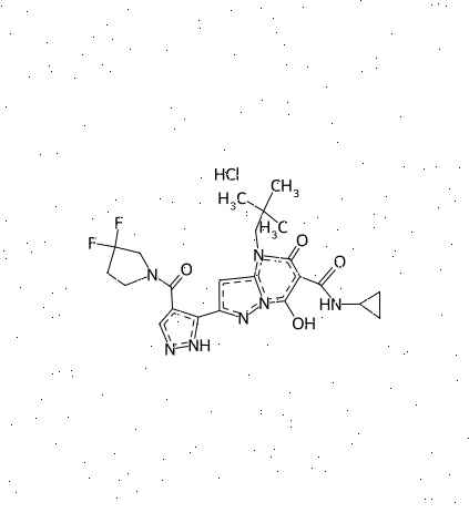 CC(C)(C)Cn1c(=O)c(C(=O)NC2CC2)c(O)n2nc(-c3[nH]ncc3C(=O)N3CCC(F)(F)C3)cc12.Cl